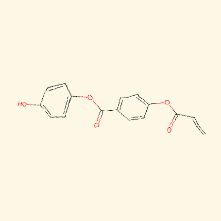 C=CC(=O)Oc1ccc(C(=O)Oc2ccc(O)cc2)cc1